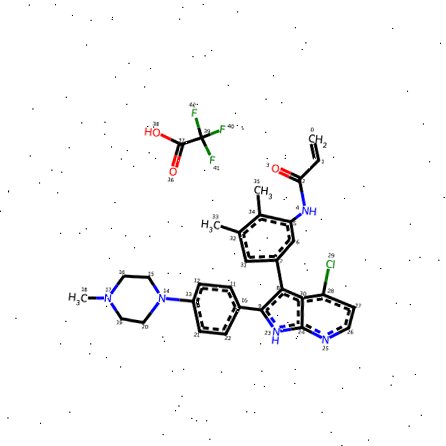 C=CC(=O)Nc1cc(-c2c(-c3ccc(N4CCN(C)CC4)cc3)[nH]c3nccc(Cl)c23)cc(C)c1C.O=C(O)C(F)(F)F